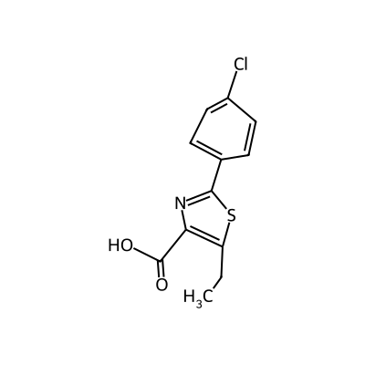 CCc1sc(-c2ccc(Cl)cc2)nc1C(=O)O